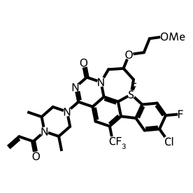 C=CC(=O)N1C(C)CN(c2nc(=O)n3c4c5c(c(C(F)(F)F)cc24)-c2cc(Cl)c(F)cc2S5(F)CC(OCCOC)C3)CC1C